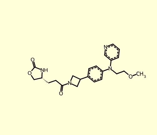 COCCN(c1ccc(C2CN(C(=O)CC[C@@H]3COC(=O)N3)C2)cc1)c1cccnc1